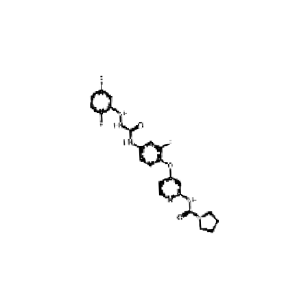 O=C(NNc1cc(F)ccc1F)Nc1ccc(Oc2ccnc(NC(=O)N3CCCC3)c2)c(F)c1